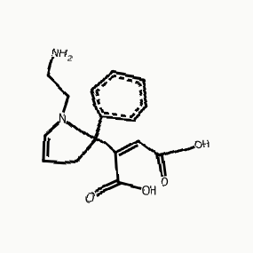 NCCN1C=CCC1(C(=CC(=O)O)C(=O)O)c1ccccc1